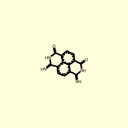 N=C1NC(=O)c2ccc3c4c(ccc1c24)C(=N)NC3=O